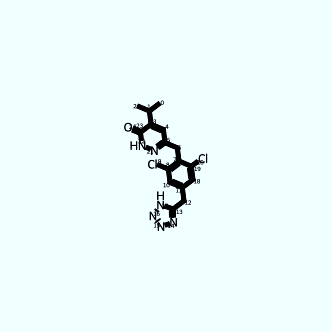 CC(C)c1cc(Cc2c(Cl)cc(Cc3nnn[nH]3)cc2Cl)n[nH]c1=O